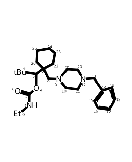 CCNC(=O)OC(C(C)(C)C)C1(CN2CCN(Cc3ccccc3)CC2)CCCCC1